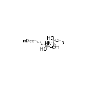 CCCCCCCCCCCCCCC[C@@H](O)[C@H](CO)NC(=O)C(C)O